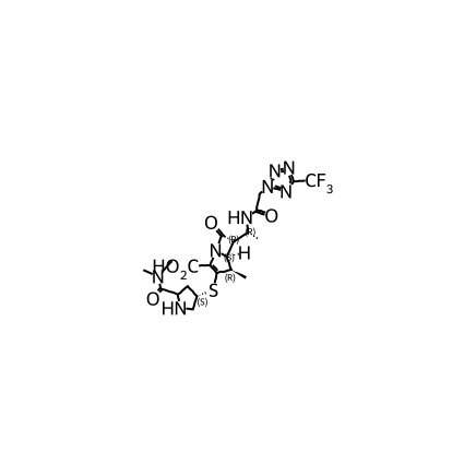 C[C@@H](NC(=O)Cn1nnc(C(F)(F)F)n1)[C@H]1C(=O)N2C(C(=O)O)=C(S[C@@H]3CNC(C(=O)N(C)C)C3)[C@H](C)[C@H]12